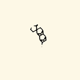 CC(C)C1CC2CC1C1C2C2CC1C1(CCOC1=O)C2